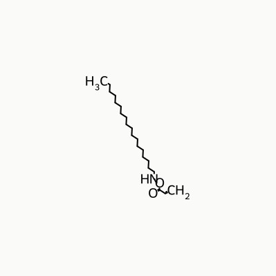 C=CC(=O)ONCCCCCCCCCCCCCCCCCC